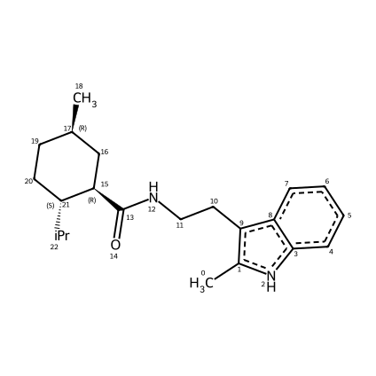 Cc1[nH]c2ccccc2c1CCNC(=O)[C@@H]1C[C@H](C)CC[C@H]1C(C)C